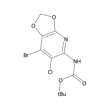 CC(C)(C)OC(=O)Nc1nc2c(c(Br)c1Cl)OCO2